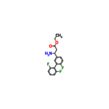 CCOC(=O)CC(N)c1ccc(F)c(-c2c(F)cccc2F)c1